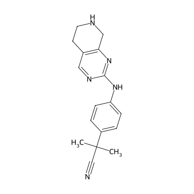 CC(C)(C#N)c1ccc(Nc2ncc3c(n2)CNCC3)cc1